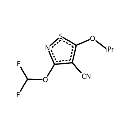 CC(C)Oc1snc(OC(F)F)c1C#N